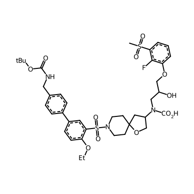 CCOc1ccc(-c2ccc(CNC(=O)OC(C)(C)C)cc2)cc1S(=O)(=O)N1CCC2(CC1)CC(N(CC(O)COc1cccc(S(C)(=O)=O)c1F)C(=O)O)CO2